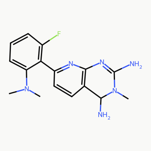 CN(C)c1cccc(F)c1-c1ccc2c(n1)N=C(N)N(C)C2N